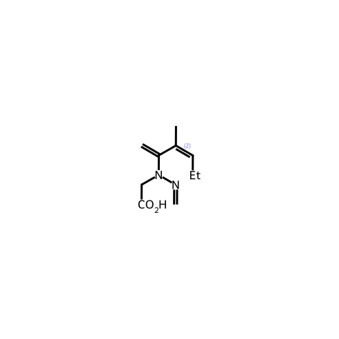 C=NN(CC(=O)O)C(=C)/C(C)=C\CC